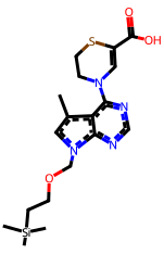 Cc1cn(COCC[Si](C)(C)C)c2ncnc(N3C=C(C(=O)O)SCC3)c12